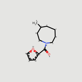 CC1CCCCN(C(=O)c2ccco2)CC1